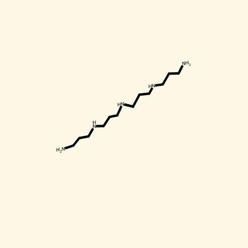 NCCCNCCCNCCCNCCCN